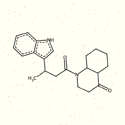 CC(CC(=O)N1CCC(=O)C2CCCCC21)c1c[nH]c2ccccc12